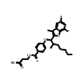 CCCCCC(C)C(Nc1ccc(C(=O)NCCC(=O)O)cc1)c1oc2c(F)cc(F)cc2c1C